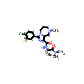 CN1CCCn2c(-c3ccc(Cl)c(F)c3)nc(C(=O)N[C@H](C(=O)N(C)C)C(C)(C)C)c2C1